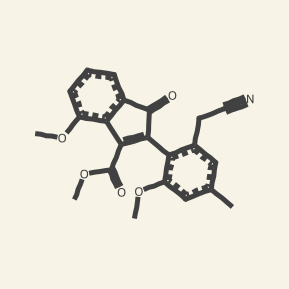 COC(=O)C1=C(c2c(CC#N)cc(C)cc2OC)C(=O)c2cccc(OC)c21